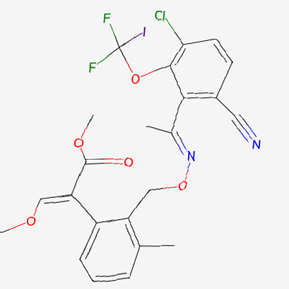 CO/C=C(/C(=O)OC)c1cccc(C)c1CO/N=C(\C)c1c(C#N)ccc(Cl)c1OC(F)(F)I